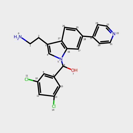 NCCc1cn(C(O)c2cc(Cl)cc(Cl)c2)c2cc(-c3ccncc3)ccc12